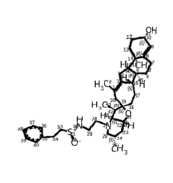 CC1=C2C[C@H]3[C@@H](CCC4=C[C@@H](O)CC[C@@]43C)[C@@H]2CC[C@@]2(C1)O[C@@H]1C[C@H](C)CN(CCN[S+]([O-])CCc3ccccc3)[C@H]1[C@H]2C